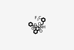 O=C(Cc1cccc(C(F)(F)F)c1)Nn1nc(S(=O)(=O)c2ccccc2)c2ccccc2c1=O